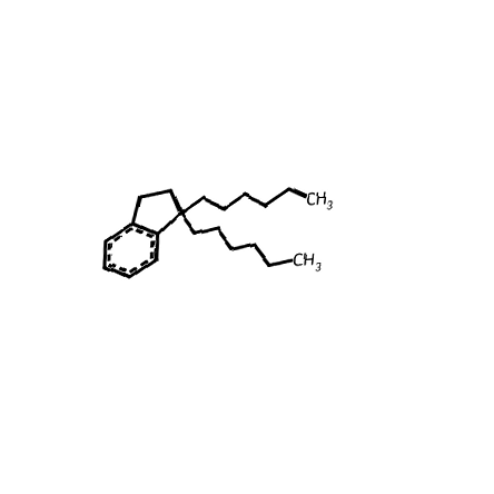 CCCCCCC1(CCCCCC)CCc2ccccc21